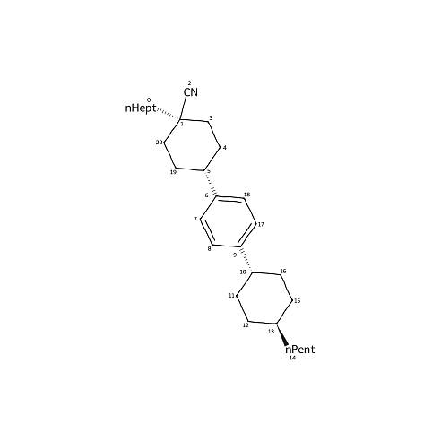 CCCCCCC[C@]1(C#N)CC[C@H](c2ccc([C@H]3CC[C@H](CCCCC)CC3)cc2)CC1